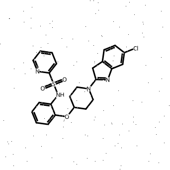 O=S(=O)(Nc1ccccc1OC1CCN(C2=Nc3cc(Cl)ccc3C2)CC1)c1ccccn1